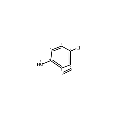 C=C.Oc1ccc(Cl)cc1